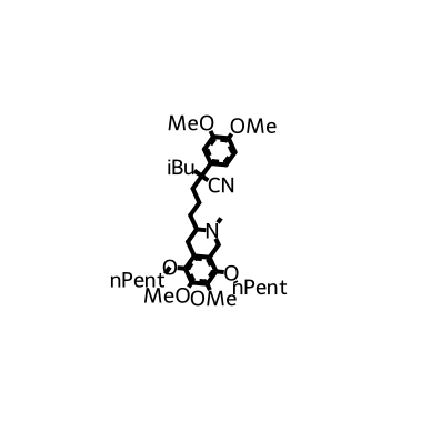 CCCCCOc1c2c(c(OCCCCC)c(OC)c1OC)CN(C)C(CCCC(C#N)(c1ccc(OC)c(OC)c1)C(C)CC)C2